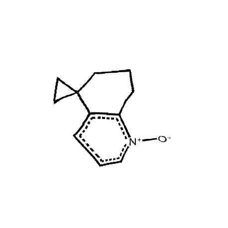 [O-][n+]1cccc2c1CCCC21CC1